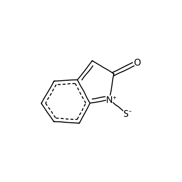 O=C1C=c2ccccc2=[N+]1[S-]